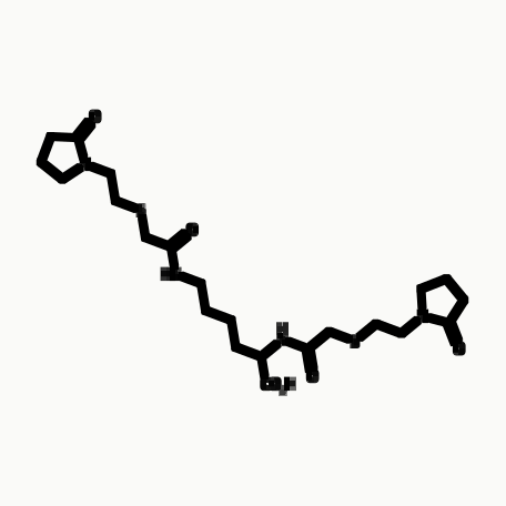 O=C(CSCCN1CCCC1=O)NCCCCC(NC(=O)CSCCN1CCCC1=O)C(=O)O